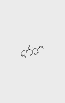 C=C(S/C=C\N)c1cc(C)ccc1F